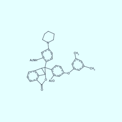 CC(=O)Nc1cc(N2CCCCC2)ccc1C1(c2ccc(Oc3cc(C)cc(C)c3)cc2OC(C)=O)C2c3cccc4c3C21OC4=O